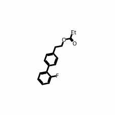 CCC(=O)OCCc1ccc(-c2ccccc2F)cc1